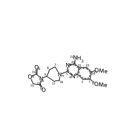 COc1cc2nc(N3CCC(N4C(=O)COC4=O)CC3)nc(N)c2cc1OC